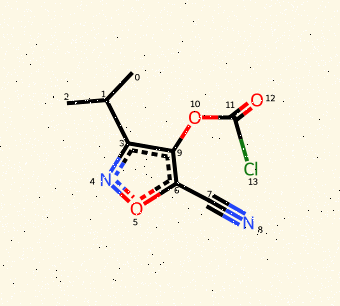 CC(C)c1noc(C#N)c1OC(=O)Cl